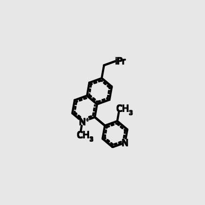 Cc1cnccc1-c1c2ccc(CC(C)C)cc2cc[n+]1C